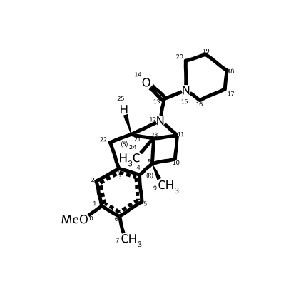 COc1cc2c(cc1C)[C@@]1(C)CC3N(C(=O)N4CCCCC4)[C@@H](C2)C31C